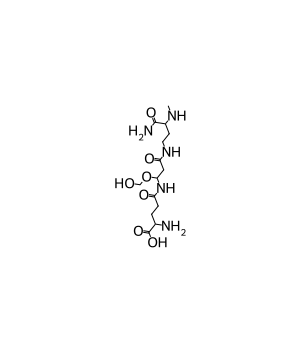 CNC(CCNC(=O)CC(NC(=O)CCC(N)C(=O)O)OCO)C(N)=O